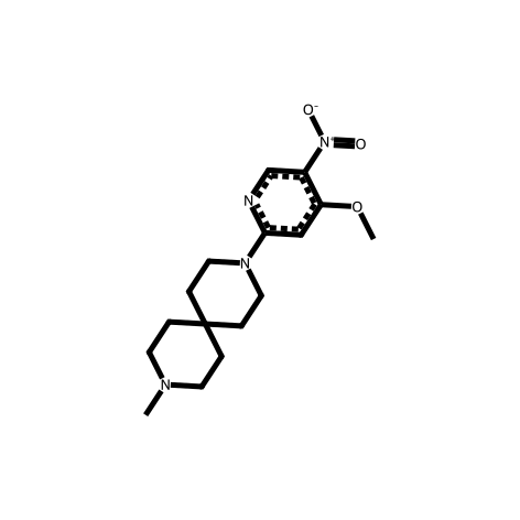 COc1cc(N2CCC3(CCN(C)CC3)CC2)ncc1[N+](=O)[O-]